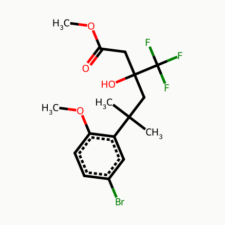 COC(=O)CC(O)(CC(C)(C)c1cc(Br)ccc1OC)C(F)(F)F